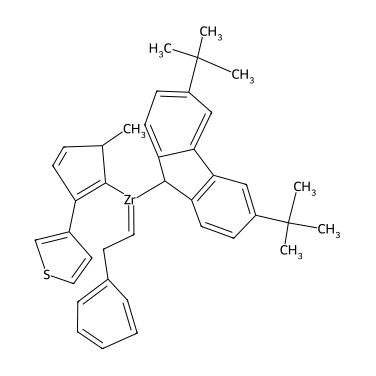 CC1C=CC(c2ccsc2)=[C]1[Zr](=[CH]Cc1ccccc1)[CH]1c2ccc(C(C)(C)C)cc2-c2cc(C(C)(C)C)ccc21